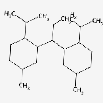 [CH2]CC(C1CC(C)CCC1C(C)C)C1CC(C)CCC1C(C)C